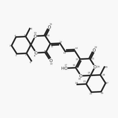 CC1CCCC(C)C12OC(=O)C(=CC=CC1=C(O)OC3(OC1=O)C(C)CCCC3C)C(=O)O2